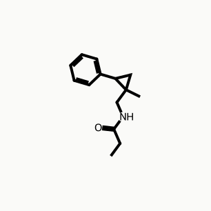 CCC(=O)NCC1(C)CC1c1ccccc1